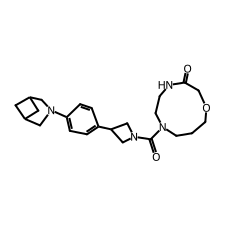 O=C1COCCCN(C(=O)N2CC(c3ccc(N4CC5CC(C5)C4)cc3)C2)CCN1